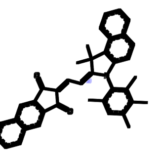 Cc1cc(C)c(N2/C(=C/C=C3C(=O)c4cc5ccccc5cc4C3=O)C(C)(C)c3c2ccc2ccccc32)c(C)c1C